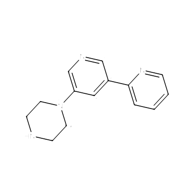 c1ccc(-c2cncc(N3CCNCC3)c2)nc1